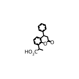 CC(C(=O)O)c1cccc2c1OC(=O)CC2c1ccccc1